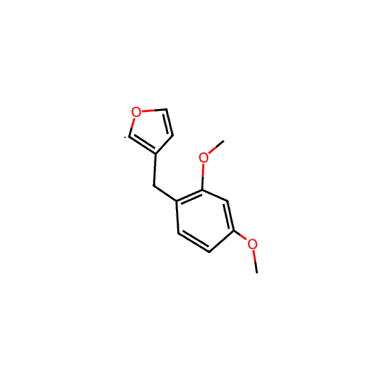 COc1ccc(Cc2[c]occ2)c(OC)c1